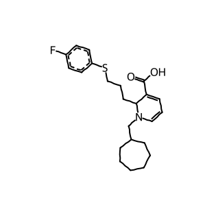 O=C(O)C1=CC=CN(CC2CCCCCC2)C1CCCSc1ccc(F)cc1